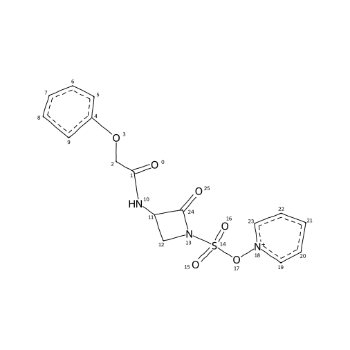 O=C(COc1ccccc1)NC1CN(S(=O)(=O)O[n+]2ccccc2)C1=O